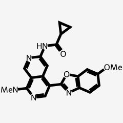 CNc1ncc(-c2nc3ccc(OC)cc3o2)c2cc(NC(=O)C3CC3)ncc12